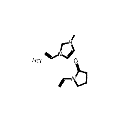 C=CN1C=CN(C)C1.C=CN1CCCC1=O.Cl